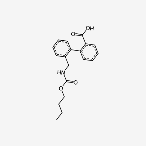 CCCCOC(=O)NCc1ccccc1-c1ccccc1C(=O)O